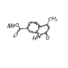 COC(=O)c1ccc2c(C)cc(=O)[nH]c2c1